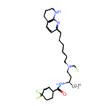 O=C(N[C@@H](CCN(CF)CCCCCCc1ccc2c(n1)NCCC2)C(=O)O)C1CCC(F)(F)CC1